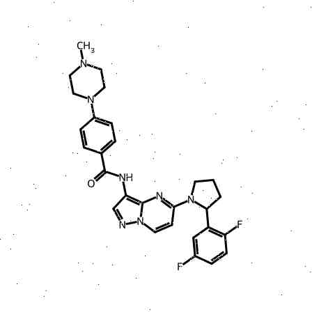 CN1CCN(c2ccc(C(=O)Nc3cnn4ccc(N5CCCC5c5cc(F)ccc5F)nc34)cc2)CC1